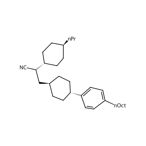 CCCCCCCCc1ccc([C@H]2CC[C@H](CC(C#N)[C@H]3CC[C@H](CCC)CC3)CC2)cc1